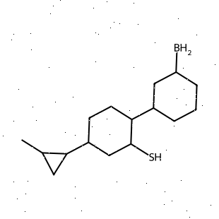 BC1CCCC(C2CCC(C3CC3C)CC2S)C1